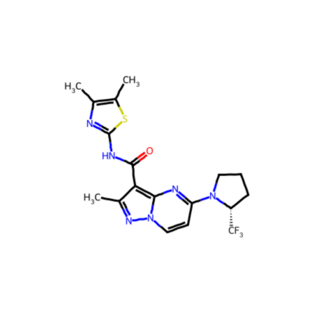 Cc1nc(NC(=O)c2c(C)nn3ccc(N4CCC[C@@H]4C(F)(F)F)nc23)sc1C